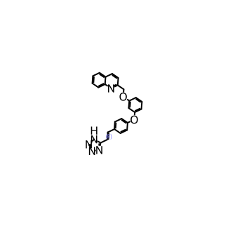 C(=C\c1nnn[nH]1)/c1ccc(Oc2cccc(OCc3ccc4ccccc4n3)c2)cc1